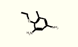 CCOc1c(C)cc(N)cc1N